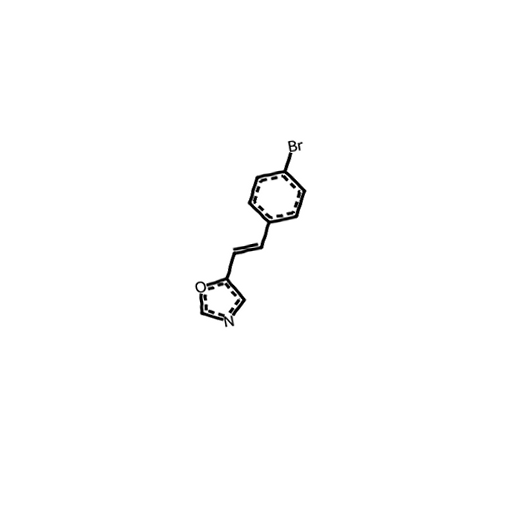 Brc1ccc(C=Cc2cnco2)cc1